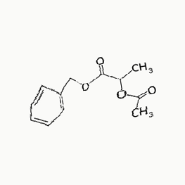 CC(=O)OC(C)C(=O)OCc1ccccc1